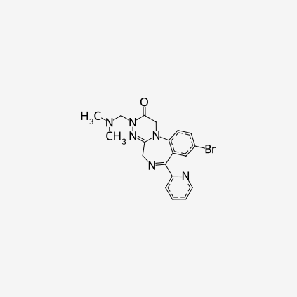 CN(C)CN1N=C2CN=C(c3ccccn3)c3cc(Br)ccc3N2CC1=O